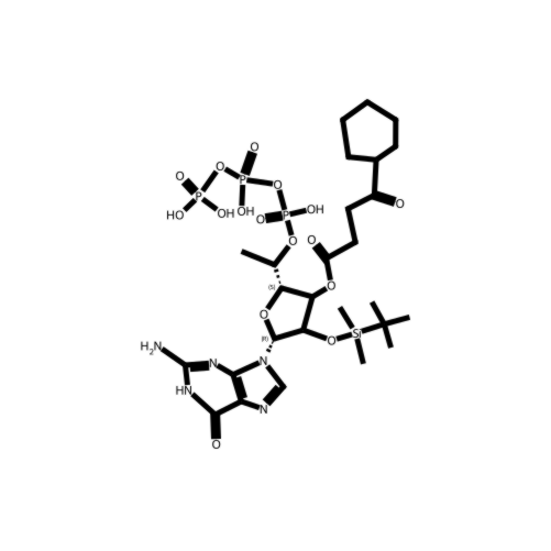 CC(OP(=O)(O)OP(=O)(O)OP(=O)(O)O)[C@H]1O[C@@H](n2cnc3c(=O)[nH]c(N)nc32)C(O[Si](C)(C)C(C)(C)C)C1OC(=O)CCC(=O)C1CCCCC1